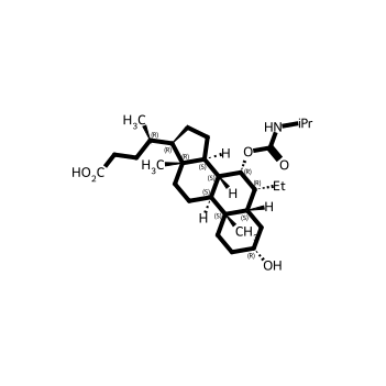 CC[C@H]1[C@@H](OC(=O)NC(C)C)[C@@H]2[C@H](CC[C@]3(C)[C@@H]([C@H](C)CCC(=O)O)CC[C@@H]23)[C@@]2(C)CC[C@@H](O)C[C@@H]12